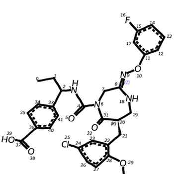 CCC(NC(=O)N1C/C(=N/Oc2cccc(F)c2)NC[C@@H](Cc2cc(Cl)ccc2OC)C1=O)c1ccc(C(=O)O)cc1